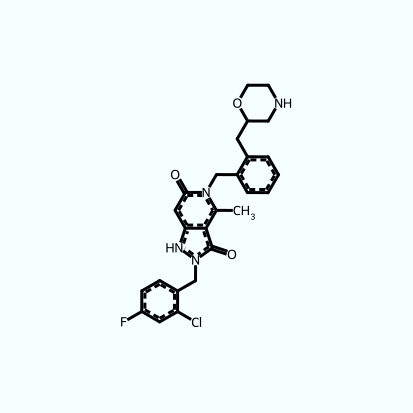 Cc1c2c(=O)n(Cc3ccc(F)cc3Cl)[nH]c2cc(=O)n1Cc1ccccc1CC1CNCCO1